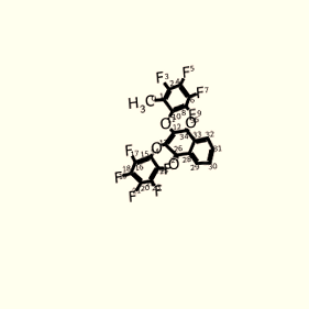 Cc1c(F)c(F)c(F)c(F)c1OC1=C(Oc2c(F)c(F)c(F)c(F)c2F)C(=O)c2ccccc2C1=O